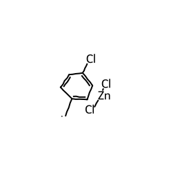 [CH2]c1ccc(Cl)cc1.[Cl][Zn][Cl]